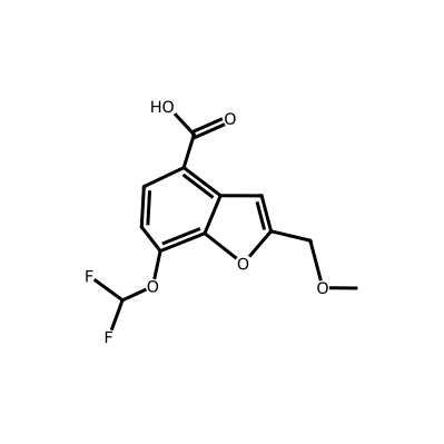 COCc1cc2c(C(=O)O)ccc(OC(F)F)c2o1